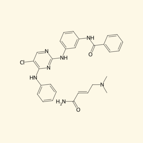 CN(C)C/C=C/C(N)=O.O=C(Nc1cccc(Nc2ncc(Cl)c(Nc3ccccc3)n2)c1)c1ccccc1